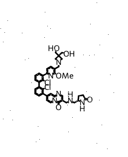 COc1nc(-c2cccc(-c3cccc(-c4ccn5c(=O)c(CNCC6CCC(=O)N6)cnc5c4)c3Cl)c2Cl)ccc1CN1CC(CO)(CO)C1